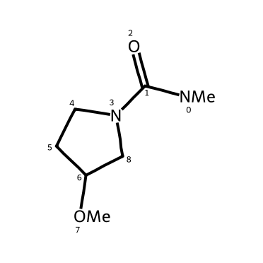 CNC(=O)N1CCC(OC)C1